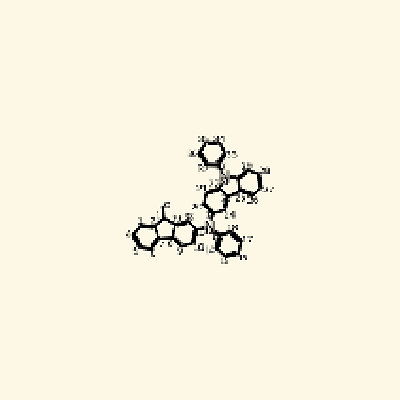 CC1c2ccccc2-c2ccc(N(c3ccccc3)c3ccc4c(c3)c3ccccc3n4-c3ccccc3)cc21